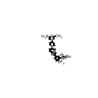 CC1CN(C2CCN(c3ccc4nc(-c5ccc(C(F)(F)F)c(NC(=O)C(C)(C)C)c5)cn4n3)CC2)CC(C)O1